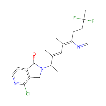 C=N/C(CCC(C)(F)F)=C(C)\C=C(/C)C(C)N1Cc2c(ccnc2Cl)C1=O